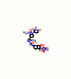 Cc1c(-c2ccc3c(c2)n(C)c(=O)n3C2CCC(=O)NC2=O)cnn1CC(=O)Nc1ccc2c(F)c(N3CC(=O)NS3(=O)=O)c(O)cc2c1